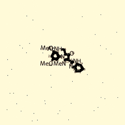 CNC1=C(c2nc3ccccc3[nH]2)C(=O)C(CNC(C)=O)N1c1cc(OC)cc(OC)c1